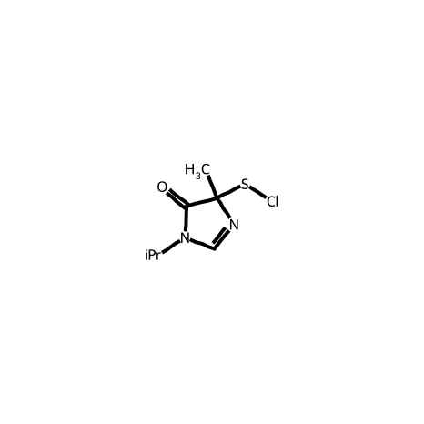 CC(C)N1C=NC(C)(SCl)C1=O